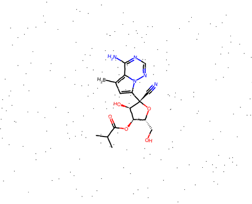 Bc1cc([C@]2(C#N)O[C@H](CO)[C@@H](OC(=O)C(C)C)[C@H]2O)n2ncnc(N)c12